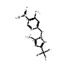 Cc1cc(Cn2nc(C(F)(F)F)cc2C)ncc1[N+](=O)[O-]